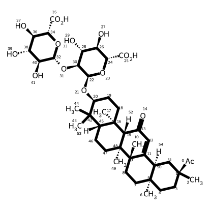 CC(=O)[C@@]1(C)CC[C@@]2(C)CC[C@@]3(C)C(=CC(=O)[C@H]4[C@]5(C)CC[C@H](O[C@@H]6O[C@@H](C(=O)O)[C@H](O)[C@@H](O)[C@@H]6O[C@H]6O[C@@H](C(=O)O)[C@H](O)[C@@H](O)[C@@H]6O)C(C)(C)[C@H]5CC[C@@]43C)[C@H]2C1